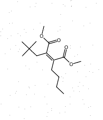 CCCC/C(C(=O)OC)=C(\CC(C)(C)C)C(=O)OC